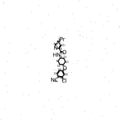 CC(C)n1cnc(C(=O)N[C@H]2CC[C@H](Oc3ccc(C#N)c(Cl)c3)CC2)c1